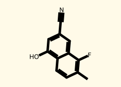 Cc1ccc2c(O)cc(C#N)cc2c1F